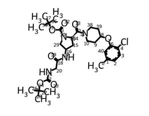 Cc1ccc(Cl)c(OC2CCN(C(=O)[C@H]3CC(NC(=O)CNC(=O)OC(C)(C)C)CN3C(=O)OC(C)(C)C)CC2)c1